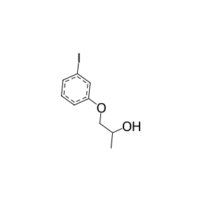 CC(O)COc1cccc(I)c1